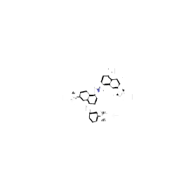 Nc1ccc(/N=N/c2ccc(Nc3cccc(S(=O)(=O)O)c3)c3cc(S(=O)(=O)O)ccc23)c2cc(S(=O)(=O)O)ccc12